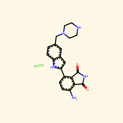 Cl.Cl.Nc1ccc(-c2cc3cc(CN4CCNCC4)ccc3[nH]2)c2c1C(=O)NC2=O